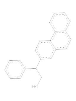 OCC(c1ccccc1)c1ccc2c(ccc3ccccc32)c1